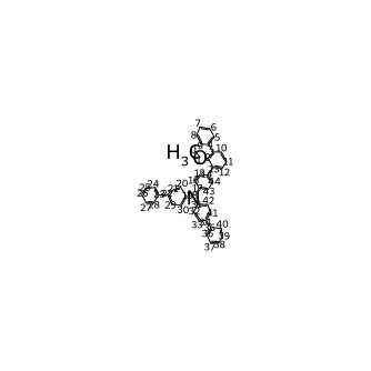 COc1c(-c2ccccc2)cccc1-c1ccc(N(c2ccc(-c3ccccc3)cc2)c2ccc(-c3ccccc3)cc2)cc1